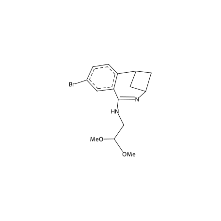 COC(CNC1=NC2CC(C2)c2ccc(Br)cc21)OC